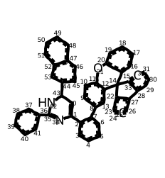 C1=C(c2ccccc2-c2ccc3c(c2)C2(c4ccccc4O3)c3ccccc3-c3ccccc32)N=C(c2ccccc2)NC1c1ccc2ccccc2c1